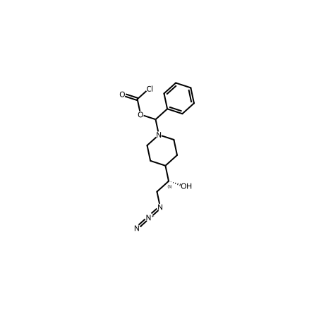 [N-]=[N+]=NC[C@@H](O)C1CCN(C(OC(=O)Cl)c2ccccc2)CC1